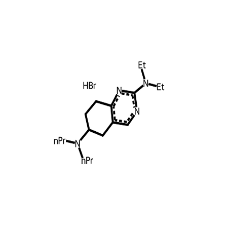 Br.CCCN(CCC)C1CCc2nc(N(CC)CC)ncc2C1